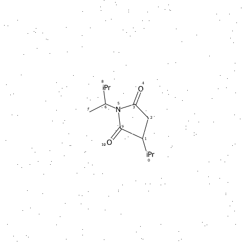 CC(C)C1CC(=O)N(C(C)C(C)C)C1=O